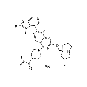 C=C(F)C(=O)N1CCN(c2nc(OC[C@@]34CCCN3C[C@H](F)C4)nc3c(F)c(-c4cccc5sc(F)c(F)c45)ncc23)C[C@@H]1CC#N